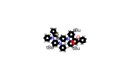 CC(C)(C)c1ccc(N(c2ccc3c(c2)N(c2ccccc2)c2cc(C(C)(C)C)cc4c2B3c2sc3c(c2N4c2ccccc2)CCC3)c2ccc(C(C)(C)C)cc2-c2cccc3c2oc2ccccc23)cc1